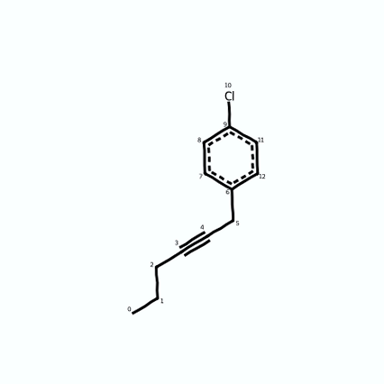 CCCC#CCc1ccc(Cl)cc1